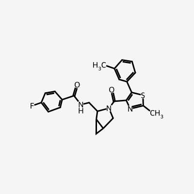 Cc1cccc(-c2sc(C)nc2C(=O)N2CC3CC3C2CNC(=O)c2ccc(F)cc2)c1